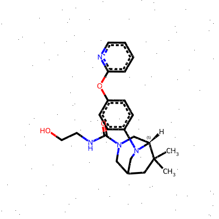 CC1(C)CC2CN(C(=O)NCCO)C[C@H]1N(c1ccc(Oc3ccccn3)cc1)C2